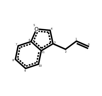 C=CCc1coc2ccccc12